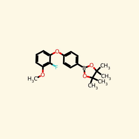 COc1cccc(Oc2ccc(B3OC(C)(C)C(C)(C)O3)cc2)c1F